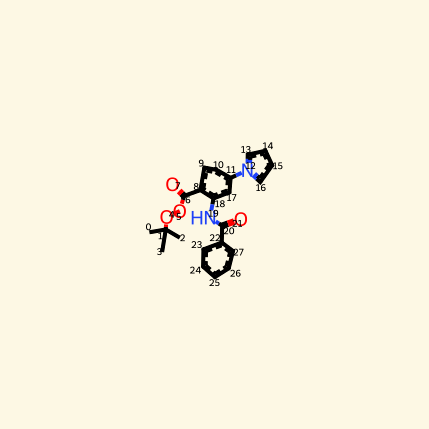 CC(C)(C)OOC(=O)c1ccc(-n2cccc2)cc1NC(=O)c1ccccc1